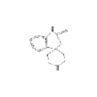 O=C1CC2([CH]CNCC2)c2ccccc2N1